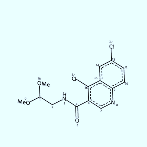 COC(CNC(=O)c1cnc2ccc(Cl)cc2c1Cl)OC